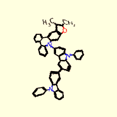 CC1Oc2cc3c(cc2C1C)-c1ccccc1-c1ccccc1N3c1ccc2c(c1)C1C=C(c3ccc4c(c3)c3ccccc3n4-c3ccccc3)C=CC1N2c1ccccc1